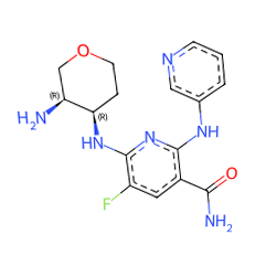 NC(=O)c1cc(F)c(N[C@@H]2CCOC[C@@H]2N)nc1Nc1cccnc1